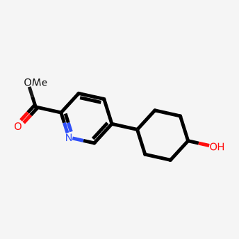 COC(=O)c1ccc(C2CCC(O)CC2)cn1